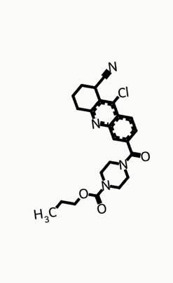 CCCOC(=O)N1CCN(C(=O)c2ccc3c(Cl)c4c(nc3c2)CCCC4C#N)CC1